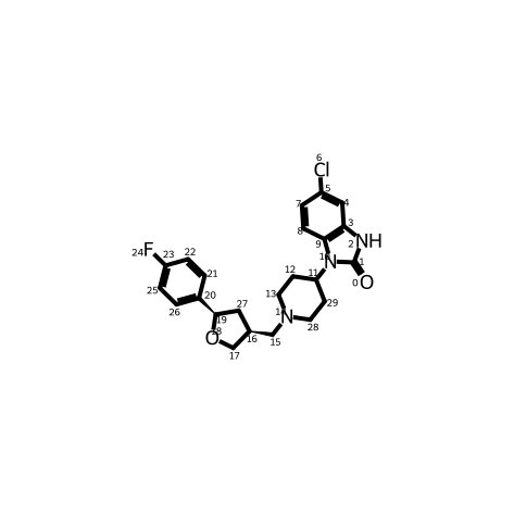 O=c1[nH]c2cc(Cl)ccc2n1C1CCN(C[C@H]2CO[C@@H](c3ccc(F)cc3)C2)CC1